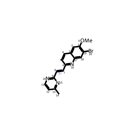 COc1cc2ccc(/C=C/c3nccc(C)n3)nc2cc1Br